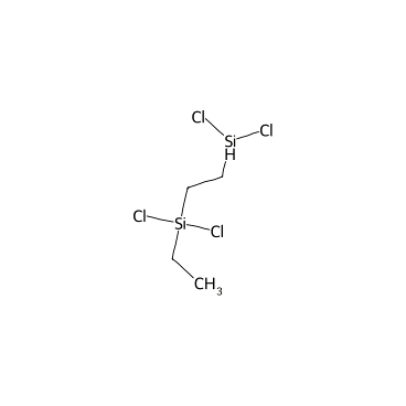 CC[Si](Cl)(Cl)CC[SiH](Cl)Cl